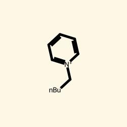 CCCCC[n+]1ccccc1